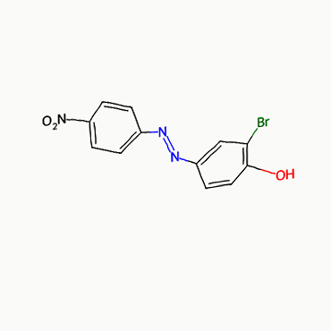 O=[N+]([O-])c1ccc(N=Nc2ccc(O)c(Br)c2)cc1